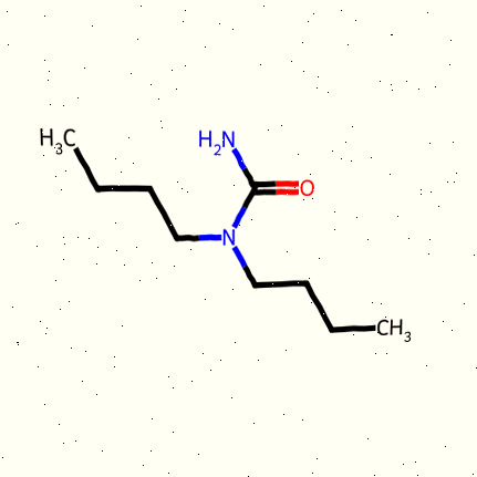 CCCCN(CCCC)C(N)=O